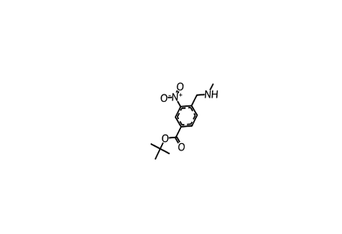 CNCc1ccc(C(=O)OC(C)(C)C)cc1[N+](=O)[O-]